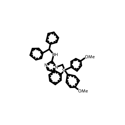 COc1ccc([Si](Cn2ccnc2BC(c2ccccc2)c2ccccc2)(c2ccccc2)c2ccc(OC)cc2)cc1